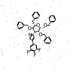 Fc1cc(-c2cnn([C@H]3[C@@H](OCc4ccccc4)[C@@H](COCc4ccccc4)O[C@@H](Sc4ccccc4)[C@@H]3OCc3ccccc3)c2)cc(F)c1F